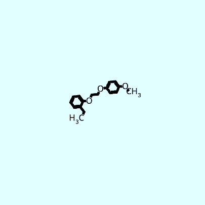 CCc1ccccc1OCCOc1ccc(OC)cc1